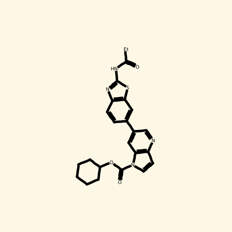 CCC(=O)Nc1nc2ccc(-c3cnc4ccn(C(=O)OC5CCCCC5)c4c3)cc2s1